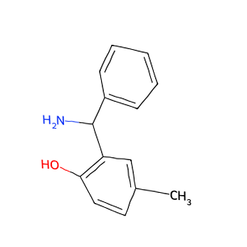 Cc1ccc(O)c(C(N)c2ccccc2)c1